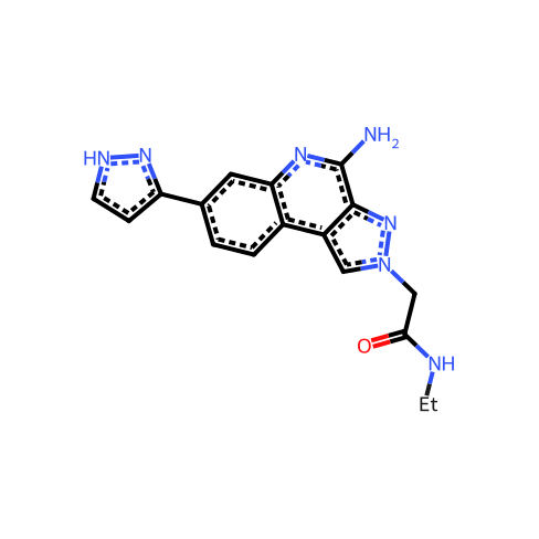 CCNC(=O)Cn1cc2c(n1)c(N)nc1cc(-c3cc[nH]n3)ccc12